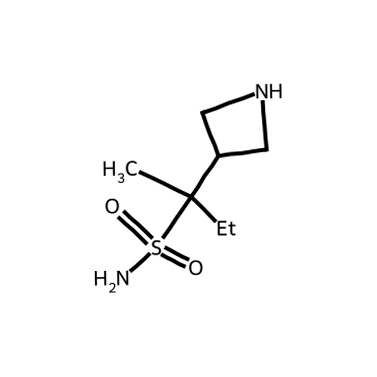 CCC(C)(C1CNC1)S(N)(=O)=O